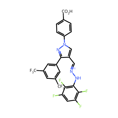 O=C(O)c1ccc(-n2cc(/C=N/Nc3c(F)c(F)cc(F)c3F)c(-c3cc(C(F)(F)F)cc(C(F)(F)F)c3)n2)cc1